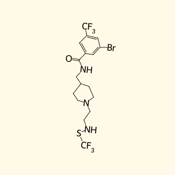 O=C(NCC1CCN(CCNSC(F)(F)F)CC1)c1cc(Br)cc(C(F)(F)F)c1